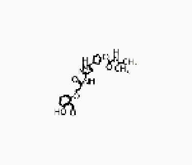 CC(C)NC(=O)O[C@@H]1CC[C@H](c2cc(NC(=O)CCOc3cccc(O)c3C=O)n[nH]2)C1